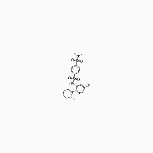 CC1CCCCN1c1ccc(F)cc1NS(=O)(=O)c1ccc(S(=O)(=O)N(C)C)cc1